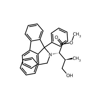 COC(=O)[C@H]([C@@H](C)CO)N(Cc1ccccc1)C1(c2ccccc2)c2ccccc2-c2ccccc21